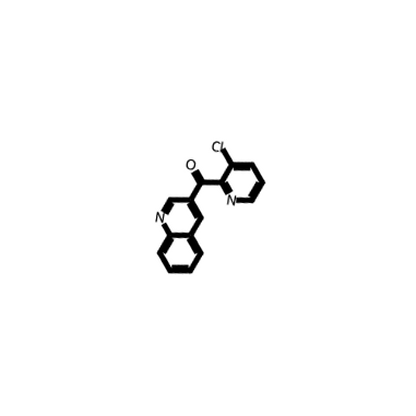 O=C(c1cnc2ccccc2c1)c1ncccc1Cl